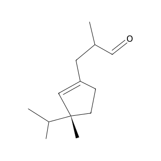 CC(C=O)CC1=C[C@@](C)(C(C)C)CC1